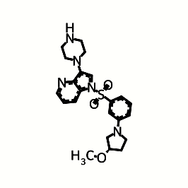 CO[C@@H]1CCN(c2cccc(S(=O)(=O)n3cc(N4CCNCC4)c4ncccc43)c2)C1